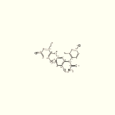 Cc1cc(Cl)ccc1N(C(N)=O)c1cc(Oc2c(Cl)cc(Cl)cc2S(=O)(=O)O)ccc1Cl